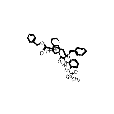 Cc1c2c(cc(OCc3ccccc3)c1Nc1ccccc1NS(C)(=O)=O)[C@]13CCCC[C@@H]1[C@H](C2)N(C(=O)OCc1ccccc1)CC3